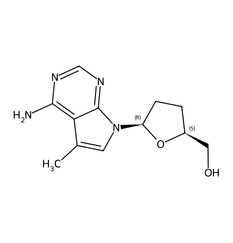 Cc1cn([C@H]2CC[C@@H](CO)O2)c2ncnc(N)c12